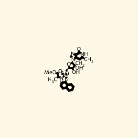 COC(=O)C(C)NP(=S)(OC[C@H]1O[C@@H](n2cnc3c(=O)[nH]c(C)cc32)C(C)(O)C1O)Oc1cccc2ccccc12